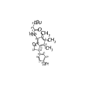 Cc1c(C)c(NC(=O)CC(C)(C)C)c2c(c1C)C(c1ccc(C(C)C)cc1)CO2